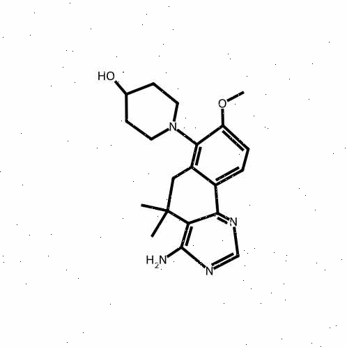 COc1ccc2c(c1N1CCC(O)CC1)CC(C)(C)c1c(N)ncnc1-2